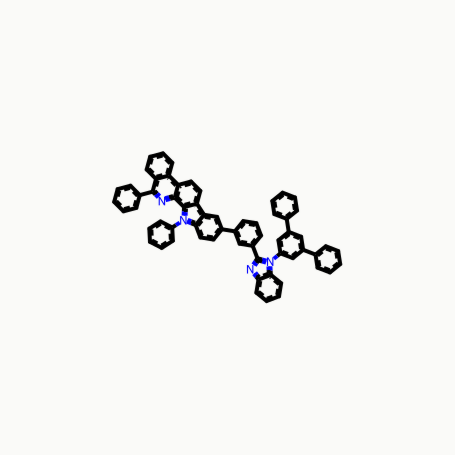 c1ccc(-c2cc(-c3ccccc3)cc(-n3c(-c4cccc(-c5ccc6c(c5)c5ccc7c8ccccc8c(-c8ccccc8)nc7c5n6-c5ccccc5)c4)nc4ccccc43)c2)cc1